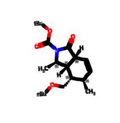 CCCCOC[C@@H]1[C@@H]2[C@@H](C)N(C(=O)OC(C)(C)C)C(=O)[C@@H]2C=C[C@H]1C